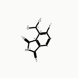 O=C1NC(=S)c2ccc(F)c(C(Cl)Cl)c21